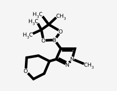 Cn1cc(B2OC(C)(C)C(C)(C)O2)c(C2CCOCC2)n1